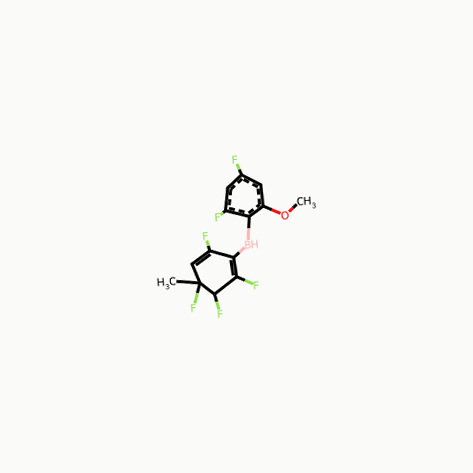 COc1cc(F)cc(F)c1BC1=C(F)C(F)C(C)(F)C=C1F